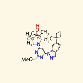 COCc1nc(N2C[C@@H](C)[C@@](C)(O)[C@@H](C)C2)cc(-n2ncc3ccc(C4(C)CCC4)cc32)n1